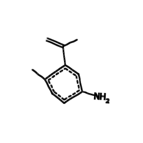 C=C(C)c1cc(N)ccc1C